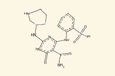 CC(C)S(=O)(=O)c1ccccc1Nc1nc(NC2CCCNC2)[nH]c(=O)c1C(N)=O